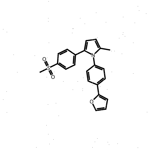 Cc1ccc(-c2ccc(S(C)(=O)=O)cc2)n1-c1ccc(-c2ccco2)cc1